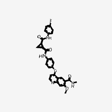 CNC(=O)c1cc2c(Oc3ccc(NC(=O)C4CC4C(=O)Nc4ccc(F)cc4)cc3)ccnc2cc1OC